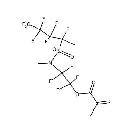 C=C(C)C(=O)OC(F)(F)C(F)(F)N(C)S(=O)(=O)C(F)(F)C(F)(F)C(F)(F)C(F)(F)F